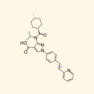 CC(C)N(c1nn(-c2ccc(/C=C/c3ccccn3)cc2)cc1C(=O)O)C(=O)[C@H]1CC[C@H](C)CC1